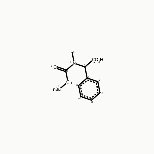 CCCCOC(=O)N(C)C(C(=O)O)c1ccccc1